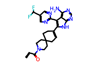 C=CC(=O)N1CCC2(CC=C(c3[nH]c4ncnc(N)c4c3-c3ncc(C(F)F)cn3)CC2)CC1